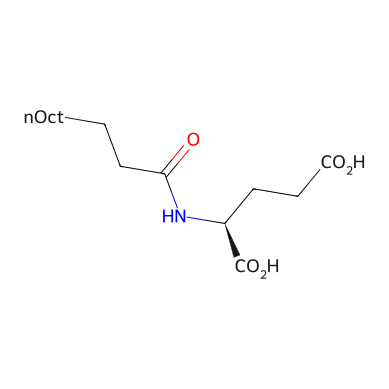 CCCCCCCCCCC(=O)N[C@@H](CCC(=O)O)C(=O)O